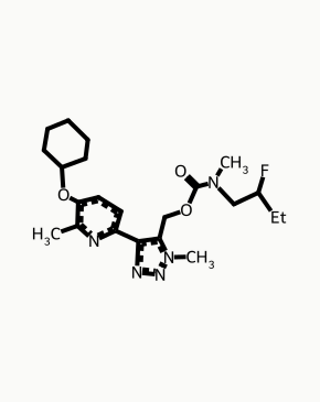 CCC(F)CN(C)C(=O)OCc1c(-c2ccc(OC3CCCCC3)c(C)n2)nnn1C